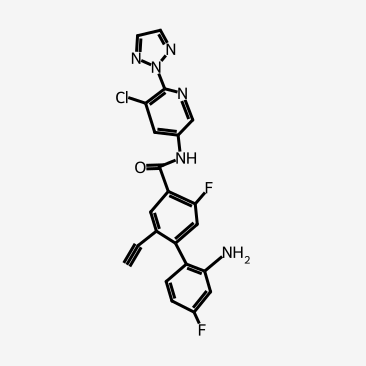 C#Cc1cc(C(=O)Nc2cnc(-n3nccn3)c(Cl)c2)c(F)cc1-c1ccc(F)cc1N